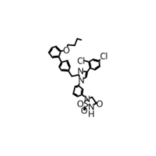 CCCCOc1ccccc1-c1ccc(Cc2nc(-c3ccc(Cl)cc3Cl)cn2-c2cccc(N3CC(=O)NS3(=O)=O)c2)cc1